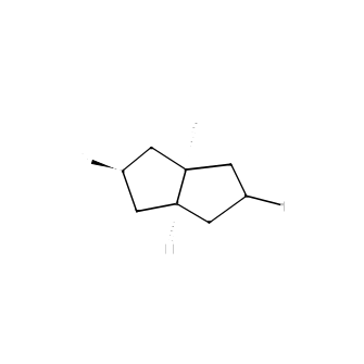 CCC1C[C@@H]2C[C@H](O)C[C@@H]2C1